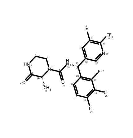 C[C@@H]1C(=O)NCCN1C(=O)N[C@H](c1cnc(C(F)(F)F)c(F)c1)c1ccc(F)c(Cl)c1F